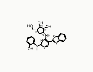 OC[C@H]1C[C@@H](Nc2nc(Nc3ccccc3O)ncc2-c2nc3ccccc3s2)[C@H](O)[C@@H]1O